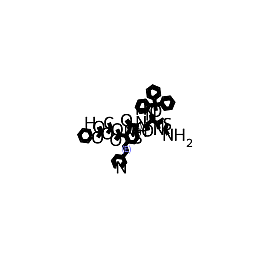 CC(OC(=O)OC1CCCCC1)OC(=O)C1=C(/C=C/c2cccnc2)CS[C@H]2[C@H](NC(=O)C(=NOC(c3ccccc3)(c3ccccc3)c3ccccc3)c3csc(N)n3)C(=O)N12